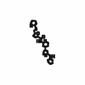 O=C(Nc1cc(-c2ccnc(Nc3ccccc3)c2)ccn1)c1ccc(CSc2ccccn2)o1